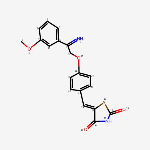 COc1cccc(C(=N)COc2ccc(/C=C3\SC(=O)NC3=O)cc2)c1